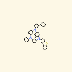 c1ccc(-c2cccc(-n3c4ccc5c6c4c4c3cccc4n(-c3ccccc3)c3cccc(c63)n5-c3ccc4sc5ccccc5c4c3)c2)cc1